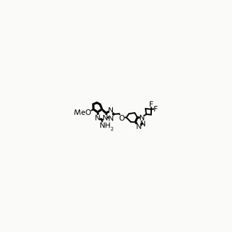 COc1cccc2c1nc(N)n1nc(COC3CCc4c(nnn4C4CC(F)(F)C4)C3)nc21